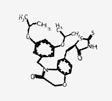 CC(C)Oc1cc(CN2C(=O)COc3ccc(C=C4SC(=S)NC4=O)cc32)cc(OC(C)C)c1